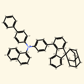 c1ccc(-c2ccc(N(c3ccc(-c4cccc5c4-c4ccccc4C54C5CC6CC(C5)CC4C6)cc3)c3cccc4ccccc34)cc2)cc1